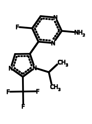 CC(C)n1c(-c2nc(N)ncc2F)cnc1C(F)(F)F